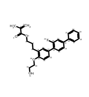 C=C(C)C(=O)OCCCc1cc(-c2ccc(-c3ccccc3)cc2F)ccc1OCCO